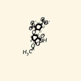 CCOC(=O)c1ccc(Oc2ccc([N+](=O)[O-])cc2[N+](=O)[O-])cc1C(=O)O